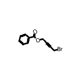 O=C(OCC#CCBr)c1ccccc1